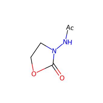 CC(=O)NN1CCOC1=O